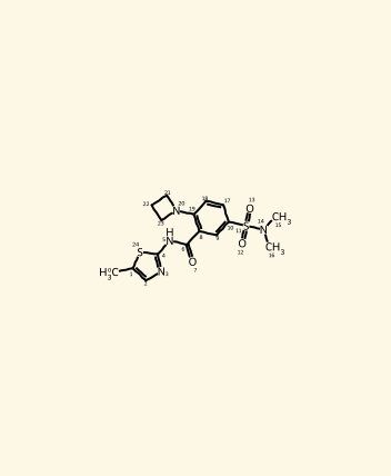 Cc1cnc(NC(=O)c2cc(S(=O)(=O)N(C)C)ccc2N2CCC2)s1